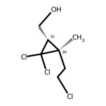 C[C@@]1(CCCl)[C@@H](CO)C1(Cl)Cl